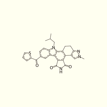 CC(C)Cn1c2ccc(C(=O)c3cccs3)cc2c2c3c(c4c(c21)CCc1nn(C)cc1-4)C(=O)NC3=O